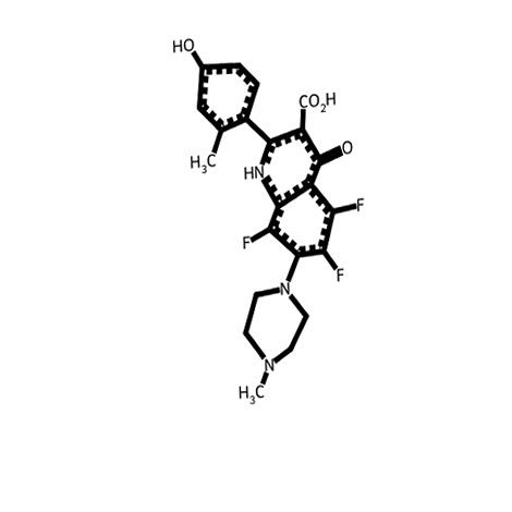 Cc1cc(O)ccc1-c1[nH]c2c(F)c(N3CCN(C)CC3)c(F)c(F)c2c(=O)c1C(=O)O